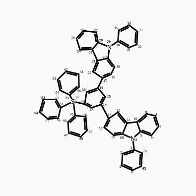 c1ccc(-n2c3ccccc3c3cc(-c4cc(-c5ccc6c(c5)c5ccccc5n6-c5ccccc5)cc([Si](c5ccccc5)(c5ccccc5)c5ccccc5)c4)ccc32)cc1